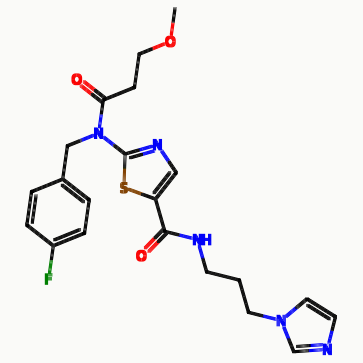 COCCC(=O)N(Cc1ccc(F)cc1)c1ncc(C(=O)NCCCn2ccnc2)s1